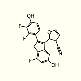 N#CC1C=COC1C1=C(c2ccc(O)c(F)c2F)Cc2c(F)cc(O)cc21